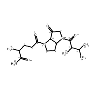 CC(C[CH]C(=O)N1CCC2C1C(=O)CN2C(=O)C(N)C(C)C)C(N)=O